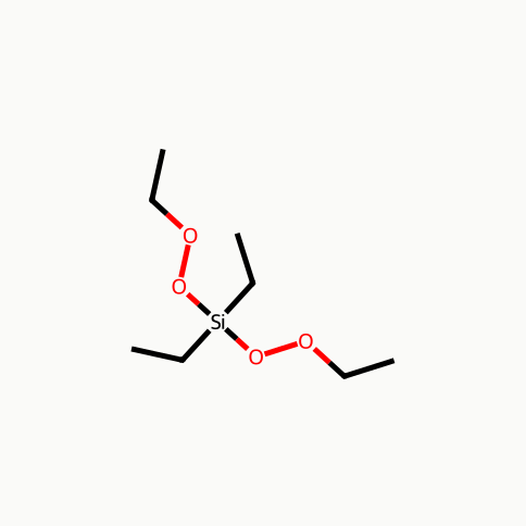 CCOO[Si](CC)(CC)OOCC